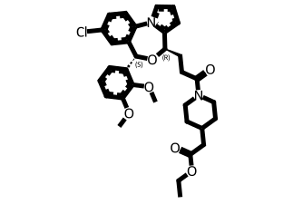 CCOC(=O)CC1CCN(C(=O)CC[C@H]2O[C@H](c3cccc(OC)c3OC)c3cc(Cl)ccc3-n3cccc32)CC1